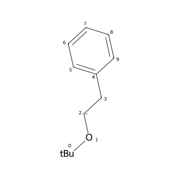 CC(C)(C)O[CH]Cc1ccccc1